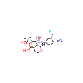 C[C@]12O[C@@]3(CCO[C@H]4[C@@H]3[C@@H]1C(=O)N4c1ccc(C#N)c(CF)c1)[C@@H](O)[C@@H]2O